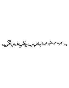 CCCCCCCCCCCCCCCOC(=O)CCSCCC(=O)O